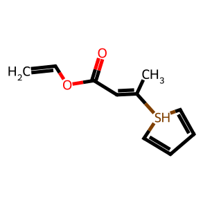 C=COC(=O)C=C(C)[SH]1C=CC=C1